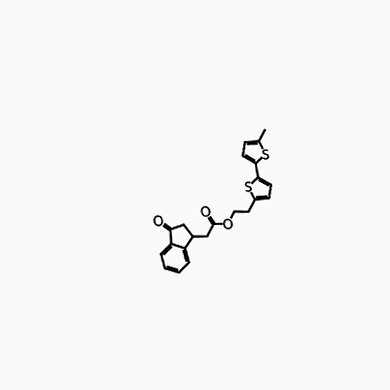 Cc1ccc(-c2ccc(CCOC(=O)CC3CC(=O)c4ccccc43)s2)s1